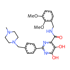 COc1cccc(CNC(=O)c2nc(-c3ccc(CN4CCN(C)CC4)cc3)nc(O)c2O)c1OC